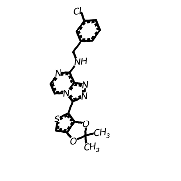 CC1(C)Oc2csc(-c3nnc4c(NCc5cccc(Cl)c5)nccn34)c2O1